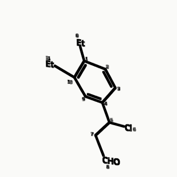 CCc1ccc(C(Cl)CC=O)cc1CC